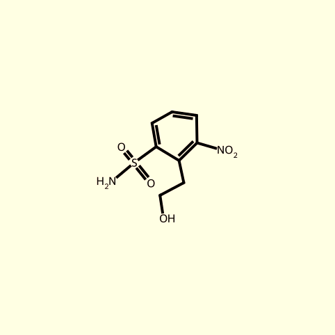 NS(=O)(=O)c1cccc([N+](=O)[O-])c1CCO